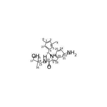 Cc1cc(C)cc(Cn2c(C(=O)NCC(C)(C)CO)cc3cc(N)ccc32)c1